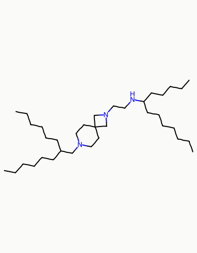 CCCCCCCC(CCCCC)NCCN1CC2(CCN(CC(CCCCCC)CCCCCC)CC2)C1